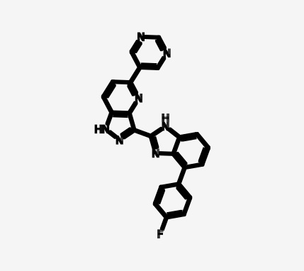 Fc1ccc(-c2cccc3[nH]c(-c4n[nH]c5ccc(-c6cncnc6)nc45)nc23)cc1